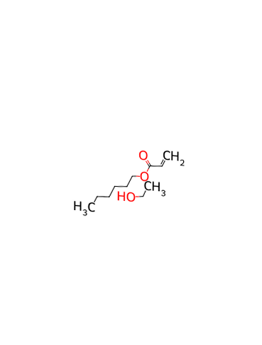 C=CC(=O)OCCCCCC.CCO